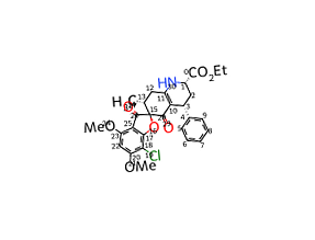 CCOC(=O)[C@@H]1C[C@H](c2ccccc2)C2=C(C[C@@H](C)[C@]3(Oc4c(Cl)c(OC)cc(OC)c4C3=O)C2=O)N1